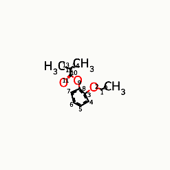 CCOc1ccccc1OC(=O)C(C)C